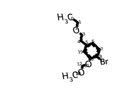 CCOCCc1ccc(Br)c(OCOC)c1